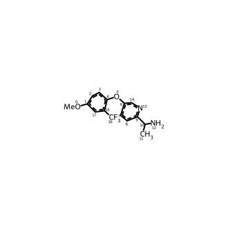 COc1ccc(Oc2ccc(C(C)N)nc2)c(C(F)(F)F)c1